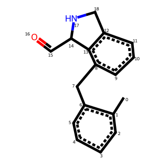 Cc1ccccc1Cc1cccc2c1C(C=O)NC2